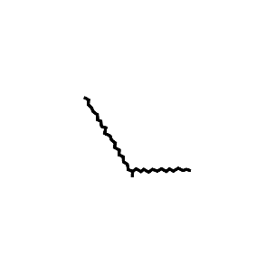 CCCCCCCCCCCCCCCCCCCCCC(C)CCCCCCCCCCCCCC